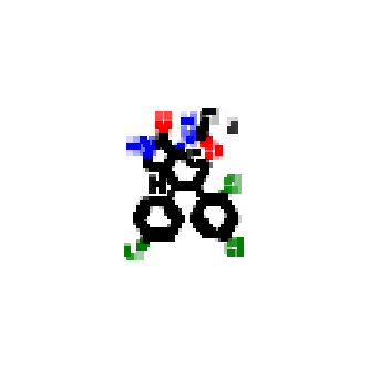 CC(=O)N[C@@]12CC[C@@H](c3ccc(Cl)cc3Cl)[C@H](c3ccc(Cl)cc3)[C@@H]1CNC2=O